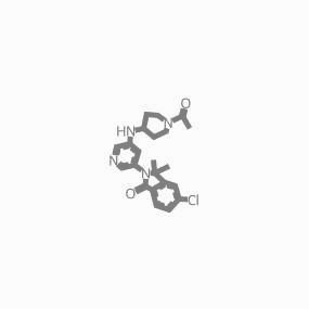 CC(=O)N1CCC(Nc2cncc(N3C(=O)c4ccc(Cl)cc4C3(C)C)c2)CC1